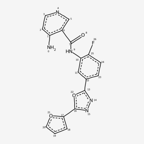 Nc1ccncc1C(=O)Nc1cc(-c2nnc(-c3ccco3)o2)ccc1F